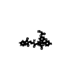 Cc1ccc2c(c1)Oc1cc(OC(=O)C(C)(C)C)ccc1C21OC(=O)c2cc(C(=O)NCCN3C(=O)C4C5C=CC(C5)C4C3=O)ccc21